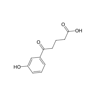 O=C(O)CCCC(=O)c1cccc(O)c1